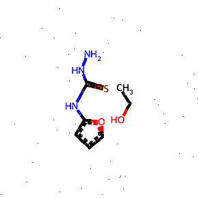 CCO.NNC(=S)Nc1ccco1